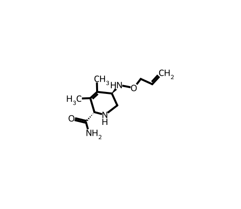 C=CCON[C@H]1CN[C@H](C(N)=O)C(C)=C1C